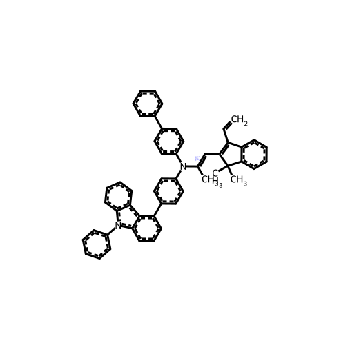 C=CC1=C(/C=C(\C)N(c2ccc(-c3ccccc3)cc2)c2ccc(-c3cccc4c3c3ccccc3n4-c3ccccc3)cc2)C(C)(C)c2ccccc21